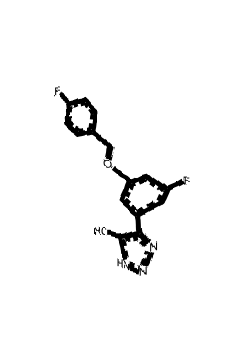 N#Cc1[nH]nnc1-c1cc(F)cc(OCc2ccc(F)cc2)c1